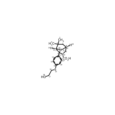 CC1(C)C[C@@H]2CN(C(=O)O)C[C@H]1N(c1ccc(SCCO)cc1)C2